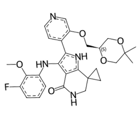 COc1c(F)cccc1Nc1c(-c2ccncc2OC[C@H]2COC(C)(C)CO2)[nH]c2c1C(=O)NCC21CC1